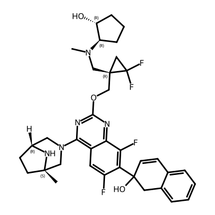 CN(C[C@@]1(COc2nc(N3C[C@H]4CC[C@@](C)(C3)N4)c3cc(F)c(C4(O)C=Cc5ccccc5C4)c(F)c3n2)CC1(F)F)[C@@H]1CCC[C@H]1O